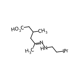 CC(CC(C)CC(=O)O)=NNCCC(C)C